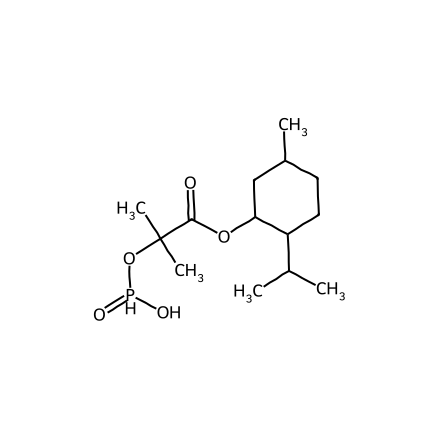 CC1CCC(C(C)C)C(OC(=O)C(C)(C)O[PH](=O)O)C1